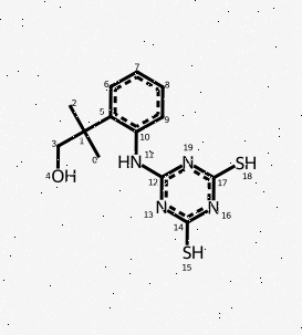 CC(C)(CO)c1ccccc1Nc1nc(S)nc(S)n1